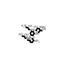 CN[C@H]1/C(=C\O)CO[C@H](O[C@H]2[C@H](NCC(O)CN)C[C@H](N)C(O[C@H]3OC(CNCC(O)CO)=CC[C@H]3N)[C@@H]2O)[C@@H]1O